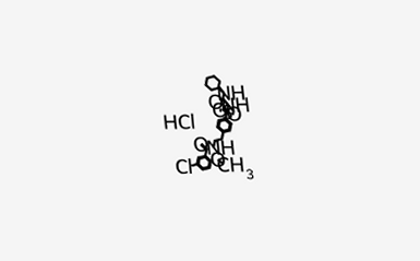 COc1ccc(Cl)cc1C(=O)NCCc1ccc(S(=O)(=O)NC(=O)NC2CCCCC2)cc1.Cl